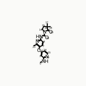 CNc1cc(Oc2ccc(NC(=O)N3CCC(C)(C)C3=O)nc2C)ccn1